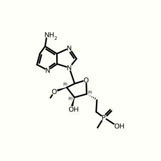 C=P(C)(O)CC[C@H]1OC(n2cnc3c(N)ccnc32)[C@H](OC)[C@@H]1O